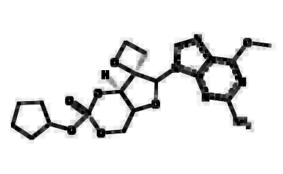 COc1nc(N)nc2c1ncn2C1OC2COP(=O)(OC3CCCC3)O[C@H]2[C@]12CCO2